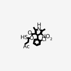 CC(=O)CCC(S)OC(=O)C1=C(C)NC(C)=C([N+](=O)[O-])C1c1ccccc1Cl